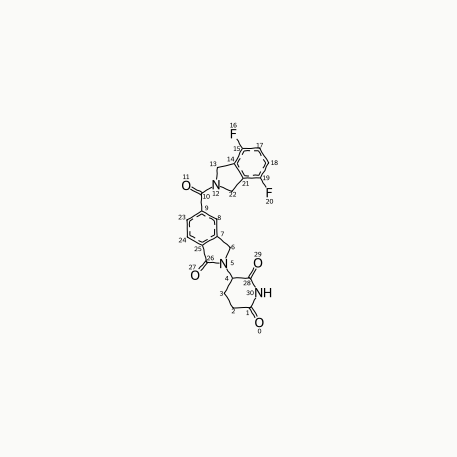 O=C1CCC(N2Cc3cc(C(=O)N4Cc5c(F)ccc(F)c5C4)ccc3C2=O)C(=O)N1